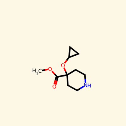 COC(=O)C1(OC2CC2)CCNCC1